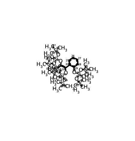 C[Si](C)(C)O[Si](C)(OC([SiH3])=C(O[Si](C)(O[Si](C)(C)C)O[Si](C)(C)C)c1ccccc1O[Si](C)(O[Si](C)(C)C)O[Si](C)(C)C)O[Si](C)(C)C